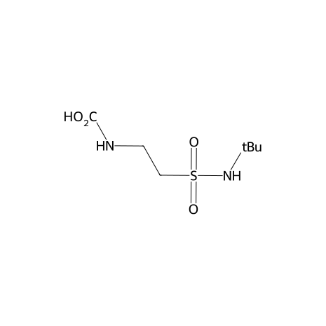 CC(C)(C)NS(=O)(=O)CCNC(=O)O